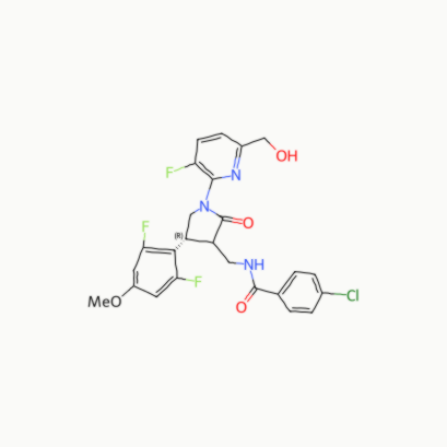 COc1cc(F)c([C@@H]2CN(c3nc(CO)ccc3F)C(=O)C2CNC(=O)c2ccc(Cl)cc2)c(F)c1